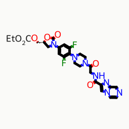 CCOC(=O)OC[C@H]1CN(c2cc(F)c(N3CCN(C(=O)CNC(=O)c4cn5ccncc5n4)CC3)c(F)c2)C(=O)O1